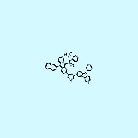 CC/C(=C\c1ccccc1C)c1c2ccccc2c(-c2ccc3ccccc3c2)c2ccc(-c3cncc(-c4ccc5c(c4)c4cnccc4n5-c4ccccc4)c3)cc12